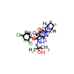 CC(C)(O)CNC(=O)c1ccc(N2[C@@H]3CC[C@H]2C[C@@H](NC(=O)C(C)(C)Oc2ccc(Cl)cc2Cl)C3)nc1